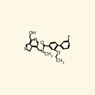 CCOc1cc(C(=O)N(C)Cc2cnc(CO)c3c2CN=C3)ccc1-c1cccc(F)c1